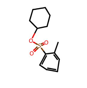 Cc1ccccc1S(=O)(=O)OC1CCCCC1